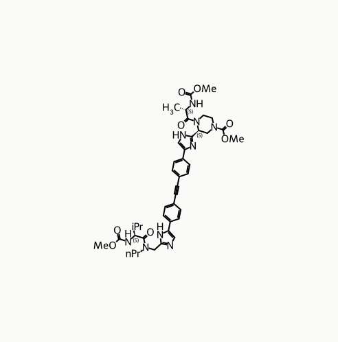 CCCN(Cc1ncc(-c2ccc(C#Cc3ccc(-c4c[nH]c([C@@H]5CN(C(=O)OC)CCN5C(=O)[C@H](C)NC(=O)OC)n4)cc3)cc2)[nH]1)C(=O)[C@@H](NC(=O)OC)C(C)C